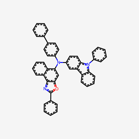 c1ccc(-c2ccc(N(c3ccc4c(c3)c3ccccc3n4-c3ccccc3)c3cc4oc(-c5ccccc5)nc4c4ccccc34)cc2)cc1